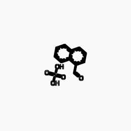 O=Cc1cccc2ccccc12.O=S(=O)(O)O